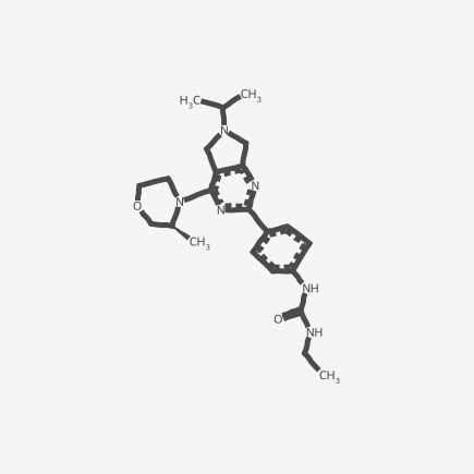 CCNC(=O)Nc1ccc(-c2nc3c(c(N4CCOC[C@@H]4C)n2)CN(C(C)C)C3)cc1